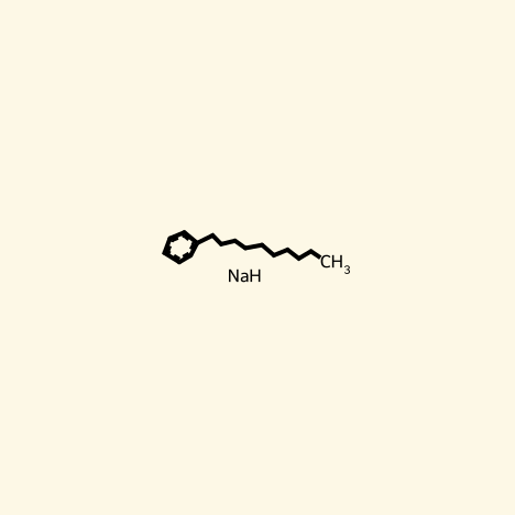 CCCCCCCCCCc1ccccc1.[NaH]